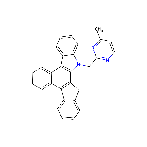 Cc1ccnc(Cn2c3ccccc3c3c4ccccc4c4c(c32)Cc2ccccc2-4)n1